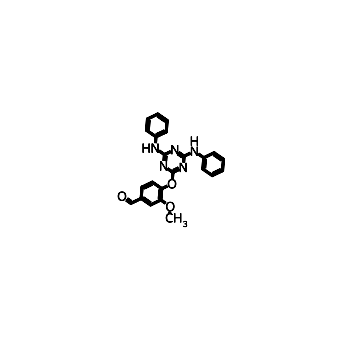 COc1cc(C=O)ccc1Oc1nc(Nc2ccccc2)nc(Nc2ccccc2)n1